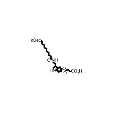 CCCCCCCCCCCCCCCCCCCC(=O)NCCC1CNc2ccc(OC(=O)CCC(=O)O)cc21